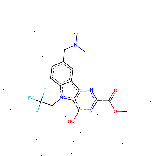 COC(=O)c1nc(O)c2c(n1)c1cc(CN(C)C)ccc1n2CC(F)(F)F